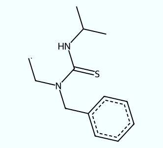 [CH2]CN(Cc1ccccc1)C(=S)NC(C)C